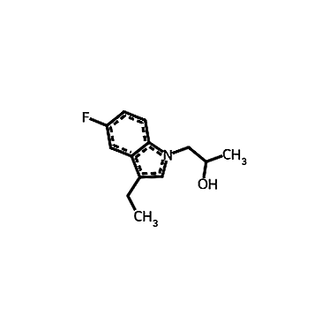 CCc1cn(CC(C)O)c2ccc(F)cc12